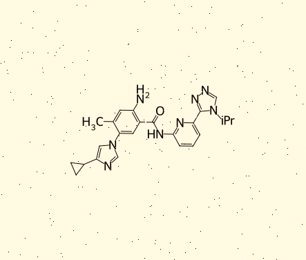 Cc1cc(N)c(C(=O)Nc2cccc(-c3nncn3C(C)C)n2)cc1-n1cnc(C2CC2)c1